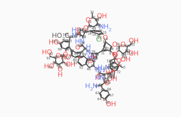 CC1O[C@@H](OC2[C@H](Oc3c4cc5cc3Oc3ccc(cc3Cl)[C@@H](O[C@H]3C[C@@H](N)[C@@H](O)C(C)O3)[C@@H]3NC(=O)C(NC(=O)[C@@H]5NC(=O)C(Cc5ccccc5)NC(=O)[C@H](NC(=O)[C@H](N)c5ccc(O)cc5)[C@H](O)c5ccc(cc5)O4)c4ccc(O)c(c4)-c4c(O[C@H]5OC(CO)[C@@H](O)[C@@H](O)C5O)cc(O)cc4C(C(=O)O)NC3=O)OC(CO)[C@@H](O)[C@@H]2O)C[C@@H](N)[C@H]1O